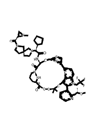 CO[C@@H](C)c1ncccc1-c1c2c3cc(ccc3n1CC(F)(F)F)-c1csc(n1)C[C@H](NC(=O)[C@H](C1CCCC1)N1CC[C@]3(CCN(C(=O)[C@H]4CN4C)C3)C1)C(=O)N1CCC[C@H](N1)C(=O)OCC(C)(C)C2